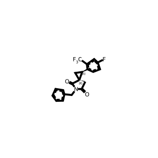 O=C1C[C@@]2(C[C@H]2c2ccc(F)cc2C(F)(F)F)C(=O)N1Cc1ccccc1